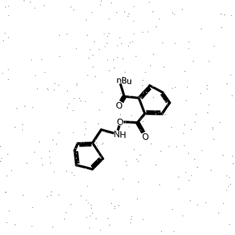 CCCCC(=O)c1ccccc1C(=O)ONCc1ccccc1